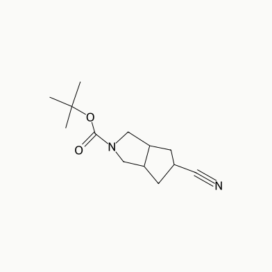 CC(C)(C)OC(=O)N1CC2CC(C#N)CC2C1